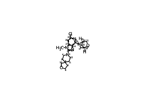 Cn1c(N2CCC3(CCOC3)CC2)nc2c(N3C[C@H]4C[C@@H]3CO4)nc(Cl)cc21